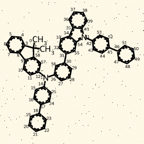 CC1(C)c2ccccc2-c2ccc(N(c3ccc(-c4ccccc4)cc3)c3cccc(-c4ccc5c6ccccc6n(-c6ccc(-c7ccccc7)cc6)c5c4)c3)cc21